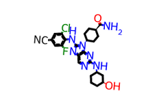 N#Cc1cc(F)c(Nc2nc3cnc(N[C@@H]4CCC[C@@H](O)C4)nc3n2[C@H]2CC[C@H](C(N)=O)CC2)c(Cl)c1